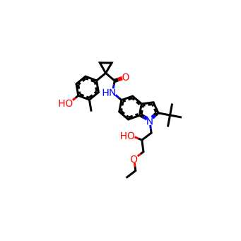 CCOCC(O)Cn1c(C(C)(C)C)cc2cc(NC(=O)C3(c4ccc(O)c(C)c4)CC3)ccc21